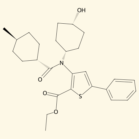 CCOC(=O)c1sc(-c2ccccc2)cc1N(C(=O)[C@H]1CC[C@H](C)CC1)[C@H]1CC[C@@H](O)CC1